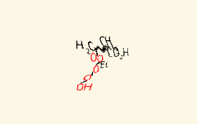 C=C(CC=C(C)C(=O)O)C(=O)OC(CC)COCCOCCO